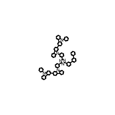 c1ccc(-c2cccc(-c3cccc(-c4nc(-c5cccc(-n6c7ccccc7c7ccc(-c8ccc9c(c8)c8ccccc8n9-c8ccccc8)cc76)c5)nc(-c5cccc(-n6c7ccccc7c7ccc(-c8ccc9c(c8)c8ccccc8n9-c8ccccc8)cc76)c5)n4)c3)c2)cc1